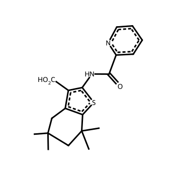 CC1(C)Cc2c(sc(NC(=O)c3ccccn3)c2C(=O)O)C(C)(C)C1